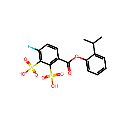 CC(C)c1ccccc1OC(=O)c1ccc(F)c(S(=O)(=O)O)c1S(=O)(=O)O